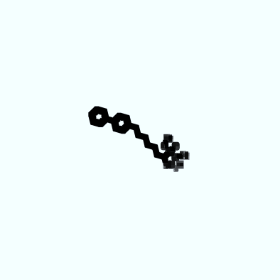 CCOP(=O)(OCC)C(CCCCCCc1ccc(-c2ccccc2)cc1)S(=O)(=O)O